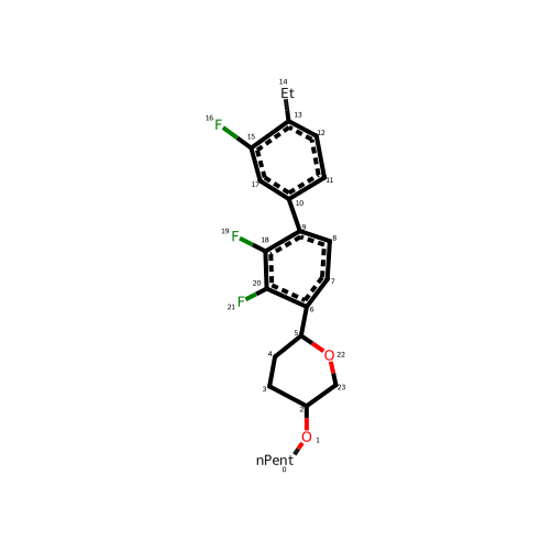 CCCCCOC1CCC(c2ccc(-c3ccc(CC)c(F)c3)c(F)c2F)OC1